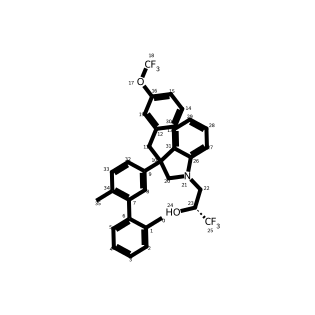 Cc1ccccc1-c1cc(C2(Cc3cccc(OC(F)(F)F)c3)CN(C[C@@H](O)C(F)(F)F)c3ccccc32)ccc1C